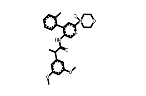 COc1cc(OC)cc(C(C)C(=O)Nc2cnc([N+]3([O-])CCOCC3)cc2-c2ccccc2C)c1